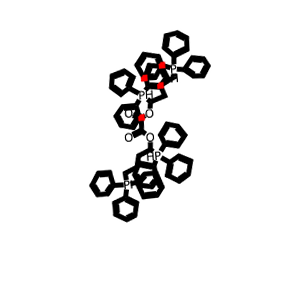 O=C(OC(CCC[PH](c1ccccc1)(c1ccccc1)c1ccccc1)[PH](c1ccccc1)(c1ccccc1)c1ccccc1)C(=O)OC(CCC[PH](c1ccccc1)(c1ccccc1)c1ccccc1)[PH](c1ccccc1)(c1ccccc1)c1ccccc1